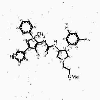 COCCN1C[C@@H](NC(=O)NC2=C(Br)C(c3cn[nH]c3)=N[N+]2(C)c2ccccc2)[C@H](c2cc(F)cc(F)c2)C1